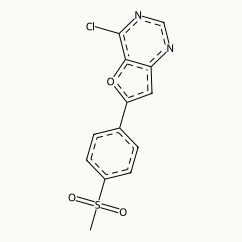 CS(=O)(=O)c1ccc(-c2cc3ncnc(Cl)c3o2)cc1